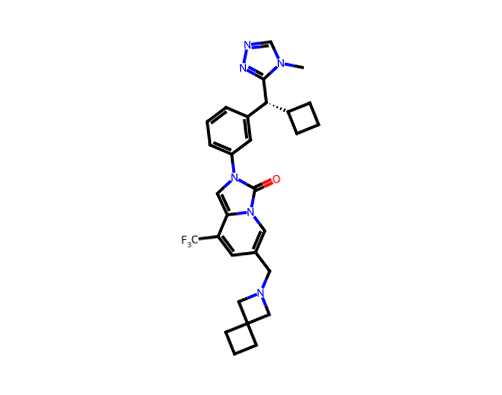 Cn1cnnc1[C@@H](c1cccc(-n2cc3c(C(F)(F)F)cc(CN4CC5(CCC5)C4)cn3c2=O)c1)C1CCC1